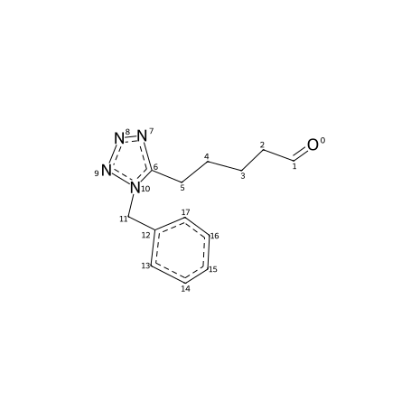 O=CCCCCc1nnnn1Cc1ccccc1